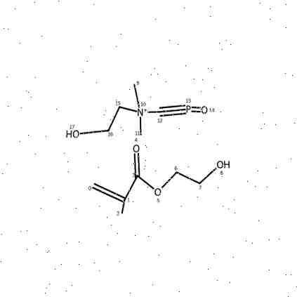 C=C(C)C(=O)OCCO.C[N+](C)(C#P=O)CCO